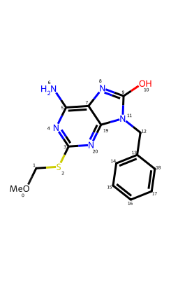 COCSc1nc(N)c2nc(O)n(Cc3ccccc3)c2n1